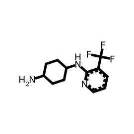 NC1CCC(Nc2ncccc2C(F)(F)F)CC1